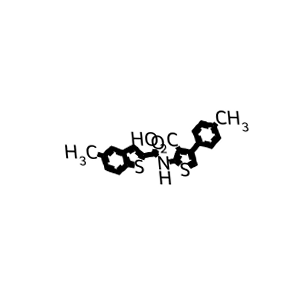 Cc1ccc(-c2csc(NC(=O)c3cc4cc(C)ccc4s3)c2C(=O)O)cc1